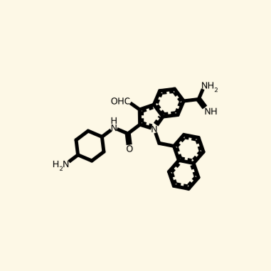 N=C(N)c1ccc2c(C=O)c(C(=O)NC3CCC(N)CC3)n(Cc3cccc4ccccc34)c2c1